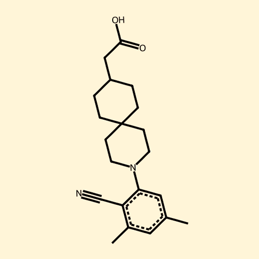 Cc1cc(C)c(C#N)c(N2CCC3(CCC(CC(=O)O)CC3)CC2)c1